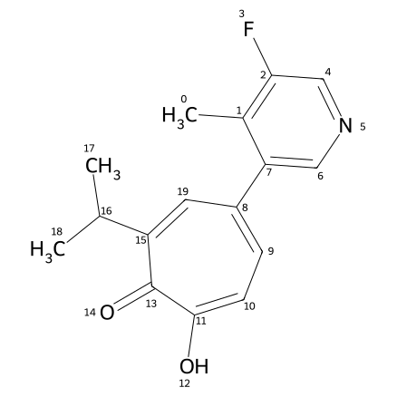 Cc1c(F)cncc1-c1ccc(O)c(=O)c(C(C)C)c1